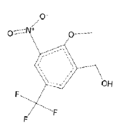 COc1c(CO)cc(C(F)(F)F)cc1[N+](=O)[O-]